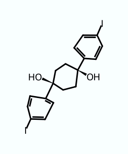 O[C@]1(c2ccc(I)cc2)CC[C@@](O)(c2ccc(I)cc2)CC1